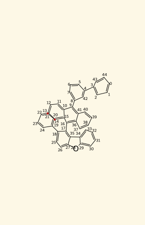 c1ccc(-c2cccc(-c3c4ccccc4c(-c4c(-c5ccccc5)ccc5oc6ccccc6c45)c4ccccc34)c2)cc1